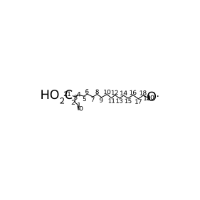 C=CCC(CCCCCCCCCCCCCCCC[O])C(=O)O